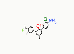 Cc1cc(-c2ccc(C(C)F)c(C)c2)c(O)c(-c2ccc(N)c(Cl)c2)c1